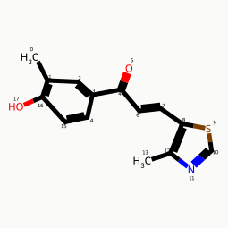 Cc1cc(C(=O)/C=C/c2scnc2C)ccc1O